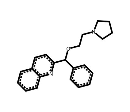 c1ccc(C(OCCN2CCCC2)c2ccc3ccccc3n2)cc1